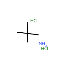 CC(C)(C)C.Cl.Cl.N